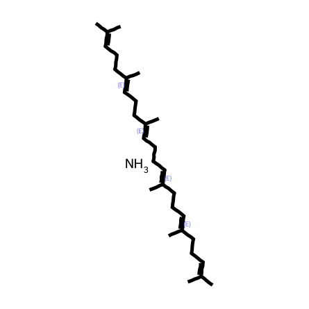 CC(C)=CCC/C(C)=C/CC/C(C)=C/CC/C=C(\C)CC/C=C(\C)CCC=C(C)C.N